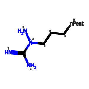 CCCCCCCCN(N)C(=N)N